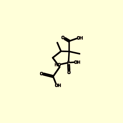 CC(CCC(=O)O)C(C)(C(=O)O)P(=O)(O)O